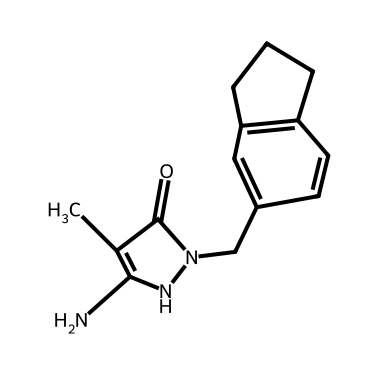 Cc1c(N)[nH]n(Cc2ccc3c(c2)CCC3)c1=O